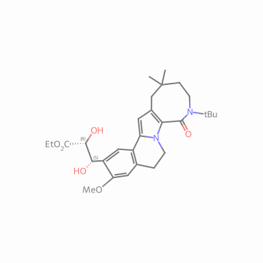 CCOC(=O)[C@H](O)[C@@H](O)c1cc2c(cc1OC)CCn1c-2cc2c1C(=O)N(C(C)(C)C)CCC(C)(C)C2